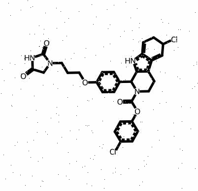 O=C1CN(CCCOc2ccc(C3c4[nH]c5c(c4CCN3C(=O)Oc3ccc(Cl)cc3)=CC(Cl)CC=5)cc2)C(=O)N1